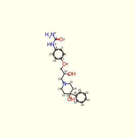 NC(=O)Nc1ccc(OCC(O)CN2CCC(O)(c3ccccc3)CC2)cc1